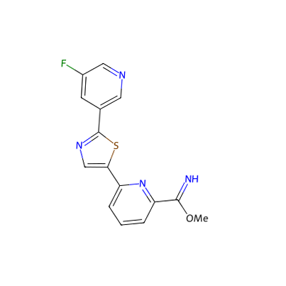 COC(=N)c1cccc(-c2cnc(-c3cncc(F)c3)s2)n1